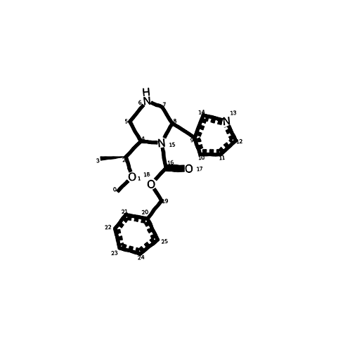 CO[C@@H](C)C1CNCC(c2cccnc2)N1C(=O)OCc1ccccc1